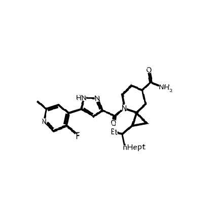 CCCCCCCC(CC)C1CC12CC(C(N)=O)CCN2C(=O)c1cc(-c2cc(C)ncc2F)[nH]n1